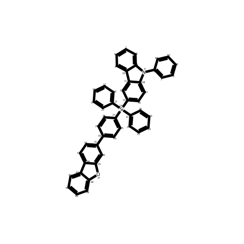 c1ccc(-n2c3ccccc3c3cc([Si](c4ccccc4)(c4ccccc4)c4ccc(-c5ccc6c(c5)oc5ccccc56)cc4)ccc32)cc1